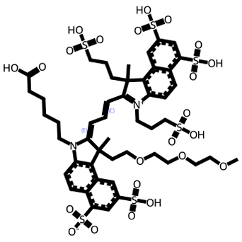 COCCOCCOCCC1(C)/C(=C\C=C\C2=[N+](CCCS(=O)(=O)O)c3ccc4c(S(=O)(=O)O)cc(S(=O)(=O)O)cc4c3C2(C)CCCS(=O)(=O)O)N(CCCCCC(=O)O)c2ccc3c(S(=O)(=O)[O-])cc(S(=O)(=O)O)cc3c21